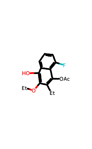 CCOc1c(CC)c(OC(C)=O)c2c(F)cccc2c1O